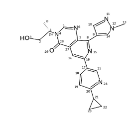 C[C@@H](CO)n1cnc2c(-c3cnn(C)c3)nc(-c3ccc(C4CC4)nc3)cc2c1=O